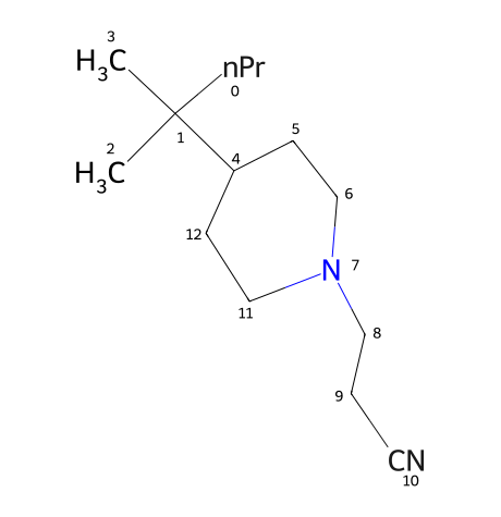 CCCC(C)(C)C1CCN(CCC#N)CC1